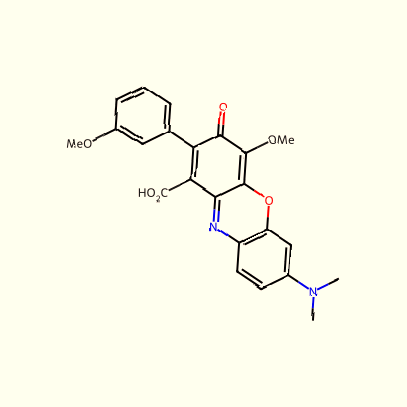 COc1cccc(-c2c(C(=O)O)c3nc4ccc(N(C)C)cc4oc-3c(OC)c2=O)c1